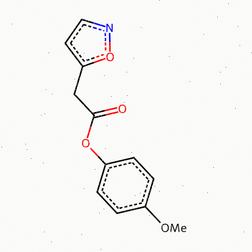 COc1ccc(OC(=O)Cc2ccno2)cc1